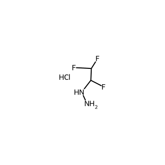 Cl.NNC(F)C(F)F